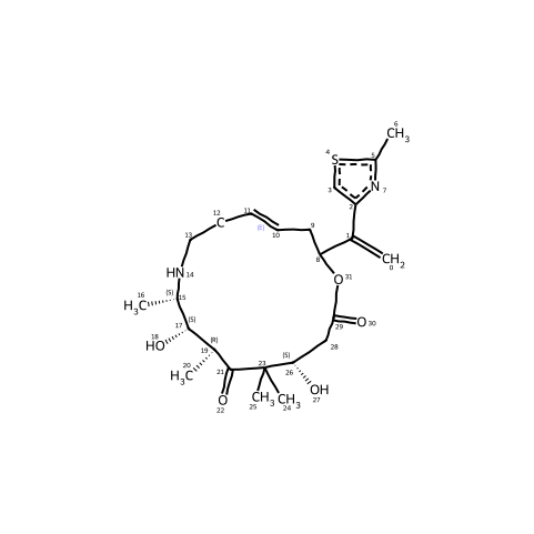 C=C(c1csc(C)n1)C1C/C=C/CCN[C@@H](C)[C@@H](O)[C@@H](C)C(=O)C(C)(C)[C@@H](O)CC(=O)O1